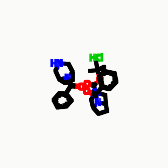 CC(C)(C)OC(=O)N1CC2CCC(C1)N2C(=O)c1ccccc1.Cl.O=C(c1ccccc1)N1C2CCC1CNC2